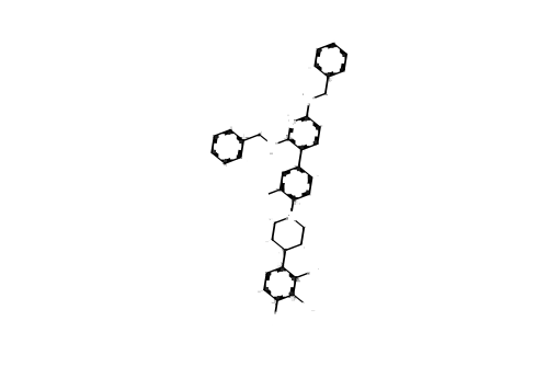 Fc1cc(-c2ccc(OCc3ccccc3)nc2OCc2ccccc2)ccc1N1CCC(c2ccc(Cl)c(F)c2F)CC1